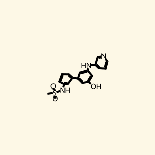 CS(=O)(=O)Nc1cccc(-c2cc(O)cc(Nc3cccnc3)c2)c1